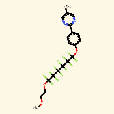 CCCCCCCCc1cnc(-c2ccc(OC(F)(F)C(F)(F)C(F)(F)C(F)(F)C(F)(F)C(F)(F)OCCOCCCC)cc2)nc1